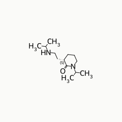 CC(C)NCC[C@@H]1CCCN(C(C)C)C1=O